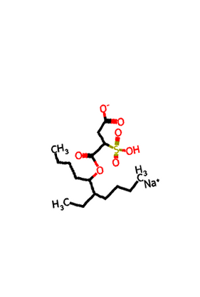 CCCCC(CC)C(CCCC)OC(=O)C(CC(=O)[O-])S(=O)(=O)O.[Na+]